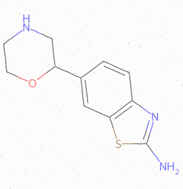 Nc1nc2ccc(C3CNCCO3)cc2s1